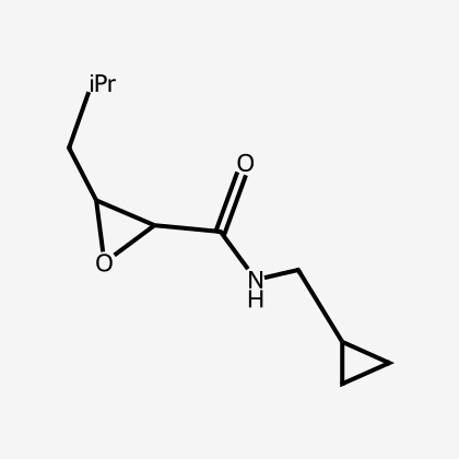 CC(C)CC1OC1C(=O)NCC1CC1